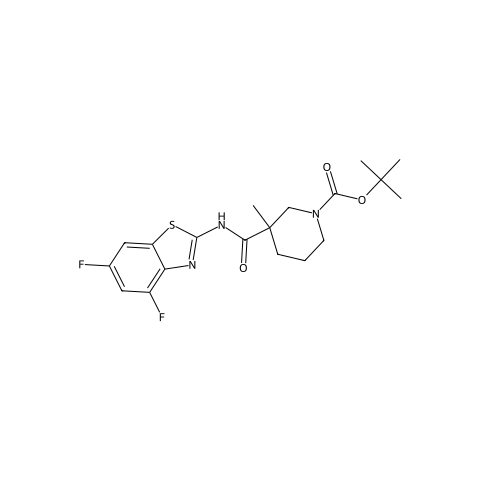 CC(C)(C)OC(=O)N1CCCC(C)(C(=O)Nc2nc3c(F)cc(F)cc3s2)C1